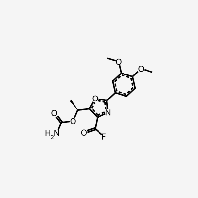 COc1ccc(-c2nc(C(=O)F)c([C@H](C)OC(N)=O)o2)cc1OC